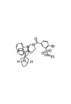 CCNS(=O)(=O)c1cc(C(=O)N2CCC(CCN3[C@@H]4CC[C@H]3C[C@@H](n3c(C)nc5ccccc53)C4)(c3ccccc3)CC2)ccc1Br